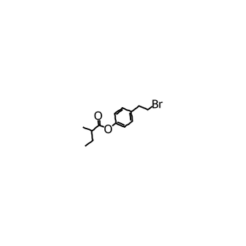 CCC(C)C(=O)Oc1ccc(CCBr)cc1